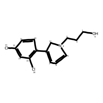 OCCCN1C=CC=C(c2ccc(Cl)cc2Cl)C1